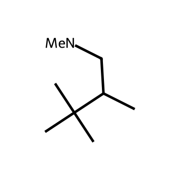 CNCC(C)C(C)(C)C